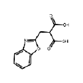 O=C(O)C(Cc1nc2ccccc2o1)C(=O)O